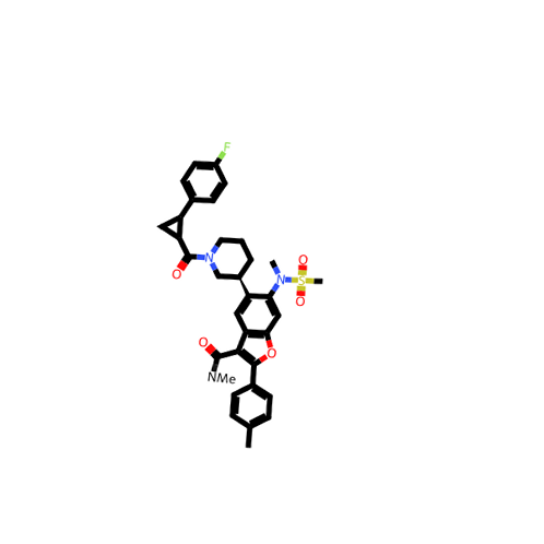 CNC(=O)c1c(-c2ccc(C)cc2)oc2cc(N(C)S(C)(=O)=O)c([C@@H]3CCCN(C(=O)C4CC4c4ccc(F)cc4)C3)cc12